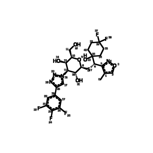 Cc1conc1[C@H](S[C@@H]1O[C@H](CO)[C@H](O)[C@H](n2cc(-c3cc(F)c(F)c(F)c3)nn2)[C@H]1O)C1(O)CCC(F)(F)CC1